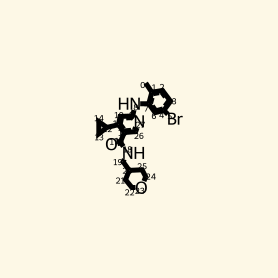 Cc1ccc(Br)cc1Nc1cc(C2CC2)c(C(=O)NCC2CCOCC2)cn1